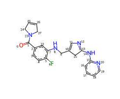 O=C(c1ccc(F)c(NCC2=CN=C(Nc3ccccn3)C2)c1)N1CC=CC1